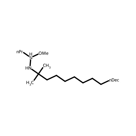 CCCCCCCCCCCCCCCCCC(C)(C)N[SiH](CCC)OC